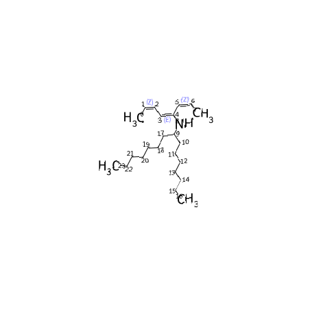 C\C=C/C=C(\C=C/C)NC(CCCCCCC)CCCCCCC